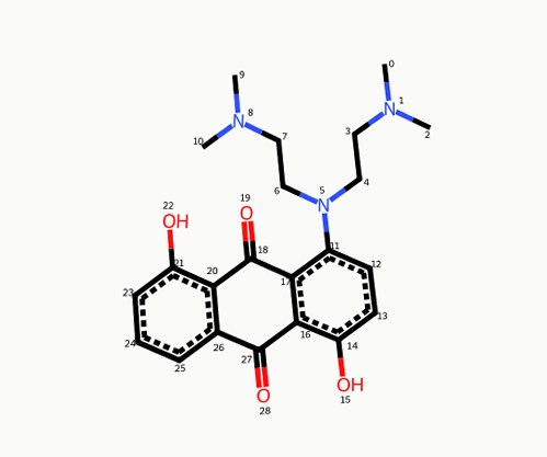 CN(C)CCN(CCN(C)C)c1ccc(O)c2c1C(=O)c1c(O)cccc1C2=O